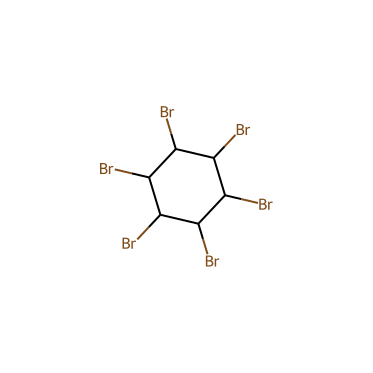 BrC1C(Br)C(Br)C(Br)C(Br)C1Br